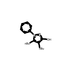 CCCCc1c(O)nn(-c2ccccc2)c1CCCC